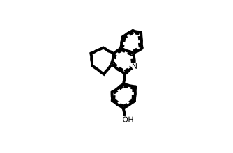 Oc1ccc(-c2nc3ccccc3c3c2CCCC3)cc1